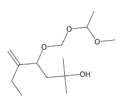 C=C(CC)C(CC(C)(C)O)OCOC(C)OC